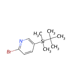 CC(C)(C)[Si](C)(C)c1ccc(Br)nc1